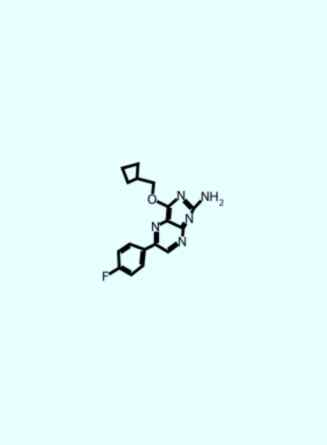 Nc1nc(OCC2CCC2)c2nc(-c3ccc(F)cc3)cnc2n1